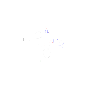 Cc1ccc([N+]([O-])=S)c([C@@H]2CO[C@](Cc3ncc[nH]3)(c3ccc(Cl)cc3Cl)O2)c1